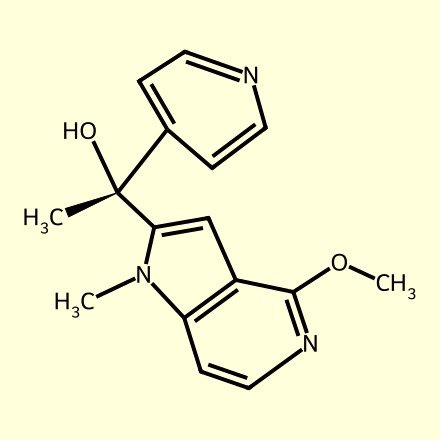 COc1nccc2c1cc([C@](C)(O)c1ccncc1)n2C